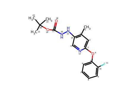 Cc1cc(Oc2ccccc2F)ncc1NNC(=O)OC(C)(C)C